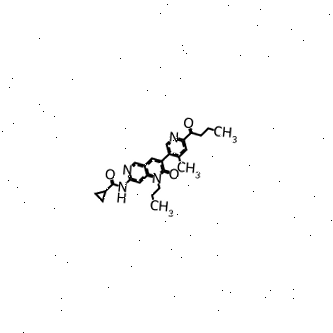 CCCC(=O)c1cc(C)c(-c2cc3cnc(NC(=O)C4CC4)cc3n(CCC)c2=O)cn1